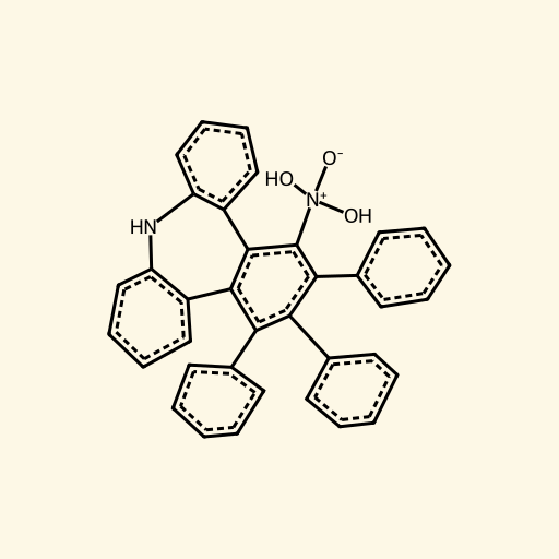 [O-][N+](O)(O)c1c(-c2ccccc2)c(-c2ccccc2)c(-c2ccccc2)c2c1-c1ccccc1Nc1ccccc1-2